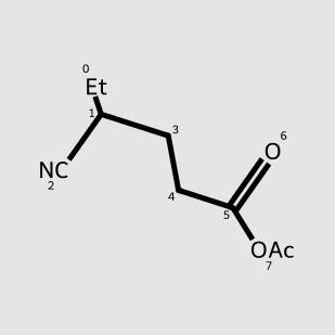 CCC(C#N)CCC(=O)OC(C)=O